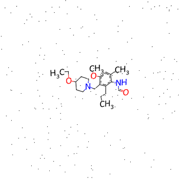 CCCc1c(CN2CCC(OCC)CC2)c(OC)cc(C)c1NC=O